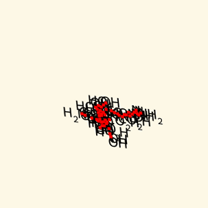 NC(=O)OCCSSCCC(=O)NC(CCC(=O)NCCCC[C@H](O)CO)C(=O)NC(CCC(=O)O)C(=O)NC(CCC(=O)NCCCC[C@H](O)CO)C(=O)NC(CCC(=O)O)C(=O)NC(CCC(=O)NCCCC[C@H](O)CO)C(=O)NC(CSSCCOC(=O)CCC(NC(=O)c1ccc(NCc2cnc3nc(N)[nH]c(=O)c3n2)cc1)C(=O)O)C(=O)O